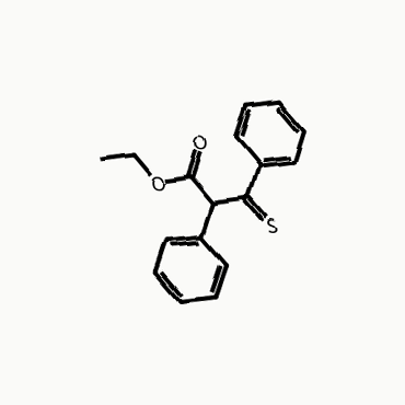 CCOC(=O)C(C(=S)c1ccccc1)c1ccccc1